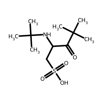 CC(C)(C)NC(CS(=O)(=O)O)C(=O)C(C)(C)C